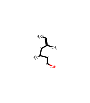 CC=C(C)CC(C)CCO